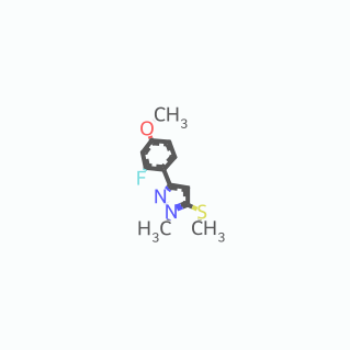 COc1ccc(-c2cc(SC)n(C)n2)c(F)c1